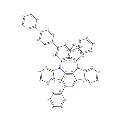 c1ccc(-c2ccc(-c3cc(-c4ccccc4)nc(-n4c5ccccc5c5c(-c6ccccc6)cc6c7ccccc7n(-c7ccccc7)c6c54)n3)cc2)cc1